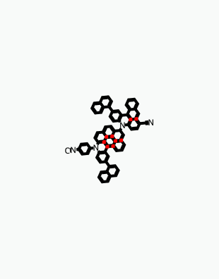 [C-]#[N+]c1ccc(N(C2=C3C=CC4=C5C(=CC=C(C=C2)C35)C(N(c2ccc(C#N)cc2)c2ccc(-c3cccc5ccccc35)cc2-c2cccc3ccccc23)C=C4)c2ccc(-c3cccc4ccccc34)cc2-c2cccc3ccccc23)cc1